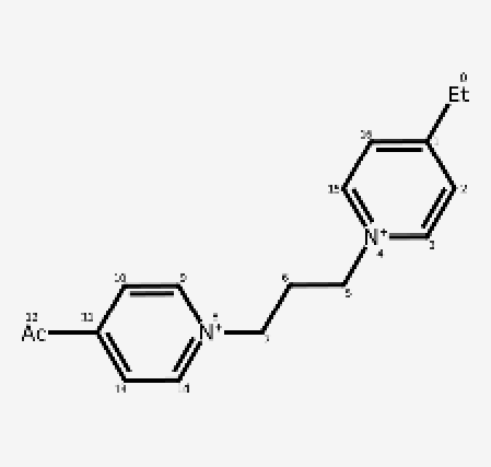 CCc1cc[n+](CCC[n+]2ccc(C(C)=O)cc2)cc1